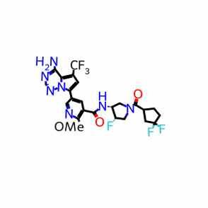 COc1ncc(-c2cc(C(F)(F)F)c3c(N)ncnn23)cc1C(=O)N[C@@H]1CN(C(=O)C2CCC(F)(F)C2)C[C@@H]1F